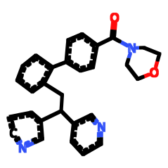 O=C(c1ccc(-c2ccccc2CC(c2cccnc2)c2cccnc2)cc1)N1CCOCC1